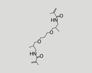 C=C(C)C(=O)NCC(C)COCCCOCC(C)CNC(=O)C(=C)C